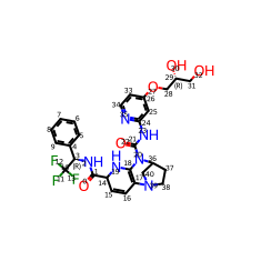 O=C(N[C@H](c1ccccc1)C(F)(F)F)C1C=CC2=C(N1)N(C(=O)Nc1cc(OC[C@H](O)CO)ccn1)C1CCN2C1